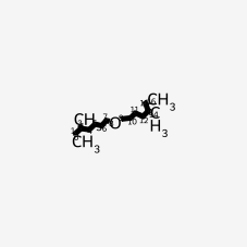 CCC(C)CCCCOCCCCC(C)CC